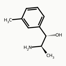 Cc1cccc([C@H](O)[C@@H](C)N)c1